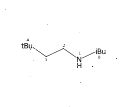 CCC(C)NCCC(C)(C)C